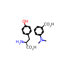 CN(C)c1cccc(C(=O)O)c1.N[C@@H](Cc1ccc(O)cc1)C(=O)O